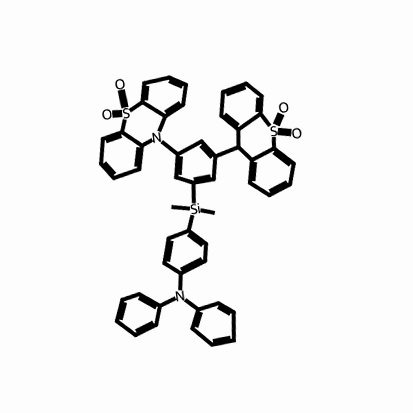 C[Si](C)(c1ccc(N(c2ccccc2)c2ccccc2)cc1)c1cc(C2c3ccccc3S(=O)(=O)c3ccccc32)cc(N2c3ccccc3S(=O)(=O)c3ccccc32)c1